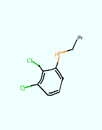 CC(C)CPc1cccc(Cl)c1Cl